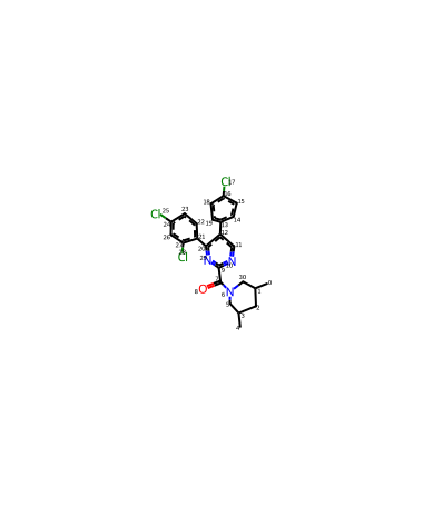 CC1CC(C)CN(C(=O)c2ncc(-c3ccc(Cl)cc3)c(-c3ccc(Cl)cc3Cl)n2)C1